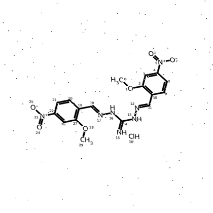 COc1cc([N+](=O)[O-])ccc1C=NNC(=N)NN=Cc1ccc([N+](=O)[O-])cc1OC.Cl